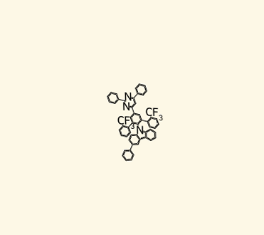 FC(F)(F)c1ccccc1-c1cc(-c2cc(-c3ccccc3)nc(-c3ccccc3)n2)cc(-c2ccccc2C(F)(F)F)c1-n1c2ccccc2c2cc(-c3ccccc3)ccc21